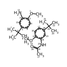 COc1ccc(C(C)(C)C)cc1N.COc1ccc(C(C)(C)C)cc1NC(C)=O